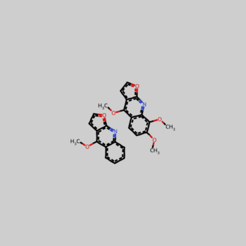 COc1c2ccccc2nc2occc12.COc1ccc2c(OC)c3ccoc3nc2c1OC